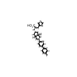 O=C(O)N(Cc1cscn1)C[C@@H]1C[C@@H]2CN(c3ccc(-c4ccc(F)cc4)cn3)C[C@@H]2C1